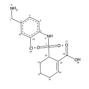 NCc1ccc(NS(=O)(=O)C2CCCC=C2C(=O)O)c(Cl)c1